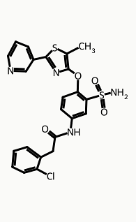 Cc1sc(-c2cccnc2)nc1Oc1ccc(NC(=O)Cc2ccccc2Cl)cc1S(N)(=O)=O